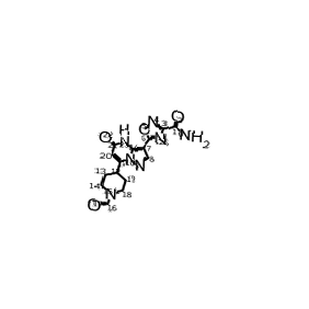 NC(=O)c1noc(-c2cnn3c(C4CCN(C=O)CC4)cc(=O)[nH]c23)n1